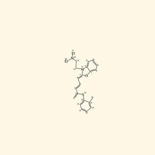 C=C(/C=C/C=C1\Sc2ccccc2N1CCN(CC)CC)Sc1ccccc1C